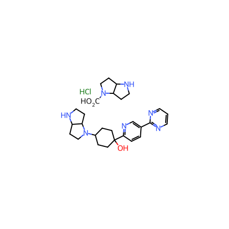 Cl.O=C(O)N1CCC2NCCC21.OC1(c2ccc(-c3ncccn3)cn2)CCC(N2CCC3NCCC32)CC1